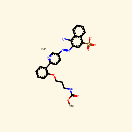 CC(C)(C)OC(=O)NCCCOc1ccccc1-c1ccc(N=Nc2cc(S(=O)(=O)[O-])c3ccccc3c2N)cn1.[Na+]